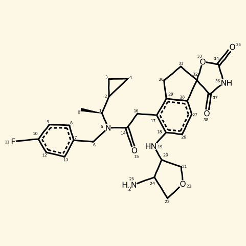 C[C@@H](C1CC1)N(Cc1ccc(F)cc1)C(=O)Cc1c(NC2COCC2N)ccc2c1CCC21OC(=O)NC1=O